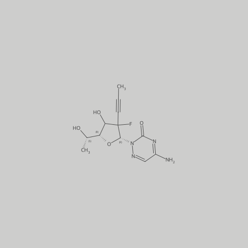 CC#CC1(F)C(O)[C@@H]([C@H](C)O)O[C@H]1n1ncc(N)nc1=O